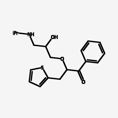 CC(C)NCC(O)COC(Cc1cccs1)C(=O)c1ccccc1